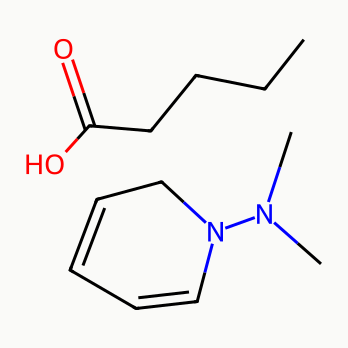 CCCCC(=O)O.CN(C)N1C=CC=CC1